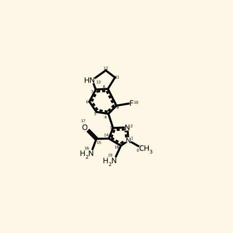 Cn1nc(-c2ccc3c(c2F)CCN3)c(C(N)=O)c1N